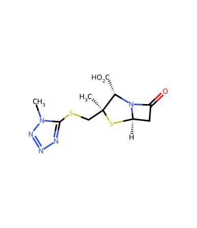 Cn1nnnc1SC[C@]1(C)S[C@@H]2CC(=O)N2[C@H]1C(=O)O